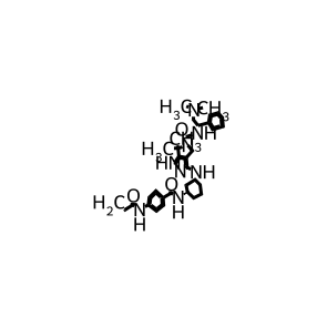 C=CC(=O)Nc1ccc(C(=O)N[C@@H]2CCC[C@@H](Nc3n[nH]c4c3CN(C(=O)NC(CN(C)C)c3ccccc3)C4(C)C)C2)cc1